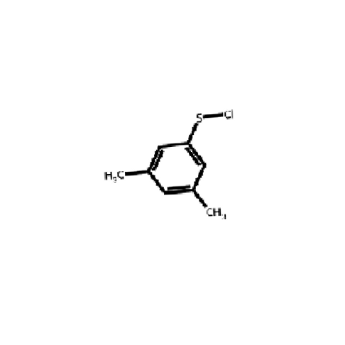 Cc1cc(C)cc(SCl)c1